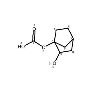 O=C(O)OC12CCC(CC1O)C2